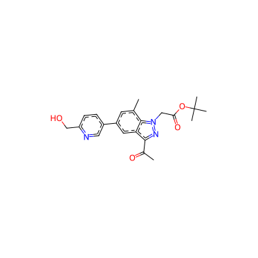 CC(=O)c1nn(CC(=O)OC(C)(C)C)c2c(C)cc(-c3ccc(CO)nc3)cc12